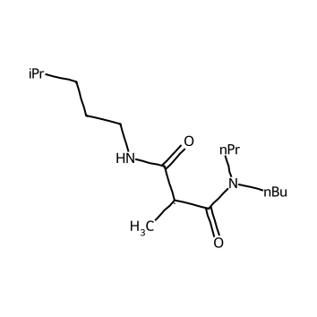 CCCCN(CCC)C(=O)[C](C)C(=O)NCCCC(C)C